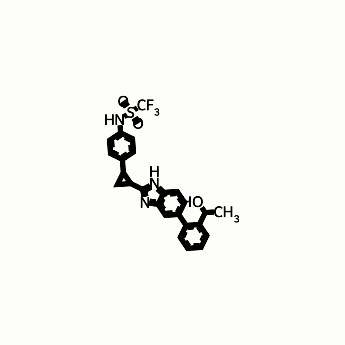 CC(O)c1ccccc1-c1ccc2[nH]c(C3CC3c3ccc(NS(=O)(=O)C(F)(F)F)cc3)nc2c1